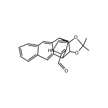 CC1(C)OC2C3c4cc5ccccc5cc4C(c4c3c[nH]c4C=O)C2O1